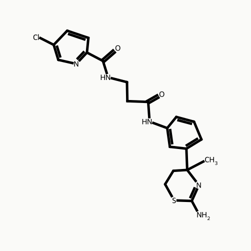 CC1(c2cccc(NC(=O)CCNC(=O)c3ccc(Cl)cn3)c2)CCSC(N)=N1